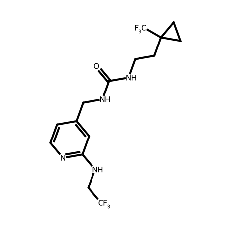 O=C(NCCC1(C(F)(F)F)CC1)NCc1ccnc(NCC(F)(F)F)c1